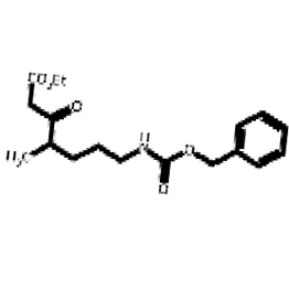 CCOC(=O)CC(=O)C(C)CCCNC(=O)OCc1ccccc1